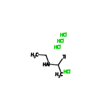 C[CH2][AlH][CH](C)[Ti].Cl.Cl.Cl.Cl